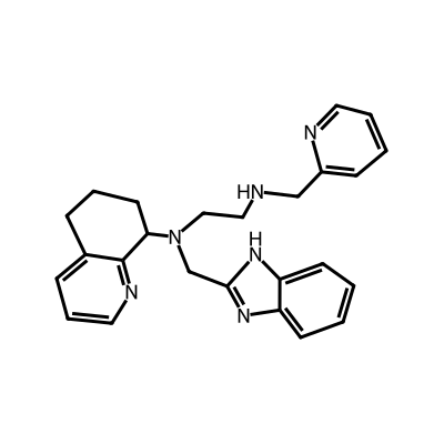 c1ccc(CNCCN(Cc2nc3ccccc3[nH]2)C2CCCc3cccnc32)nc1